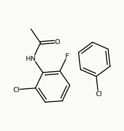 CC(=O)Nc1c(F)cccc1Cl.Clc1ccccc1